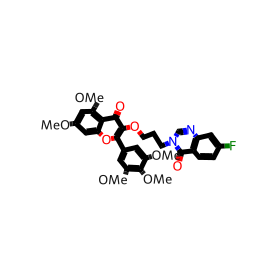 COc1cc(OC)c2c(=O)c(OCCCn3cnc4cc(F)ccc4c3=O)c(-c3cc(OC)c(OC)c(OC)c3)oc2c1